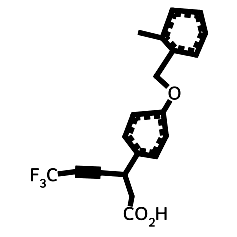 Cc1ccccc1COc1ccc(C(C#CC(F)(F)F)CC(=O)O)cc1